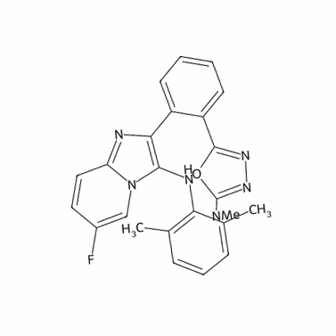 CNc1nnc(-c2ccccc2-c2nc3ccc(F)cn3c2Nc2c(C)cccc2C)o1